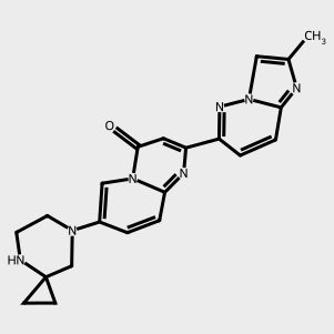 Cc1cn2nc(-c3cc(=O)n4cc(N5CCNC6(CC6)C5)ccc4n3)ccc2n1